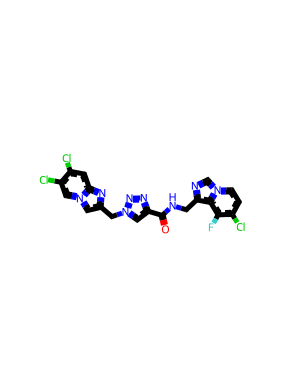 O=C(NCc1ncn2ccc(Cl)c(F)c12)c1cn(Cc2cn3cc(Cl)c(Cl)cc3n2)nn1